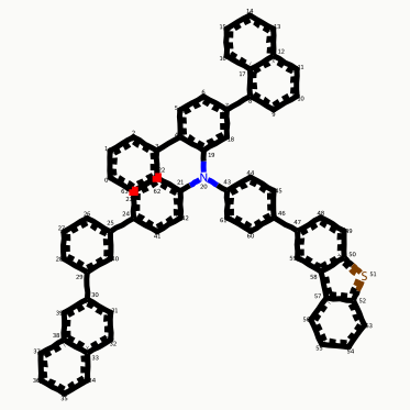 c1ccc(-c2ccc(-c3cccc4ccccc34)cc2N(c2ccc(-c3cccc(-c4ccc5ccccc5c4)c3)cc2)c2ccc(-c3ccc4sc5ccccc5c4c3)cc2)cc1